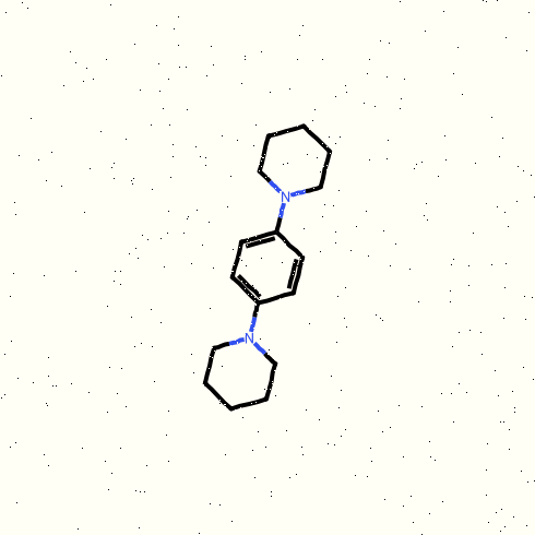 c1cc(N2CCCCC2)ccc1N1CCCCC1